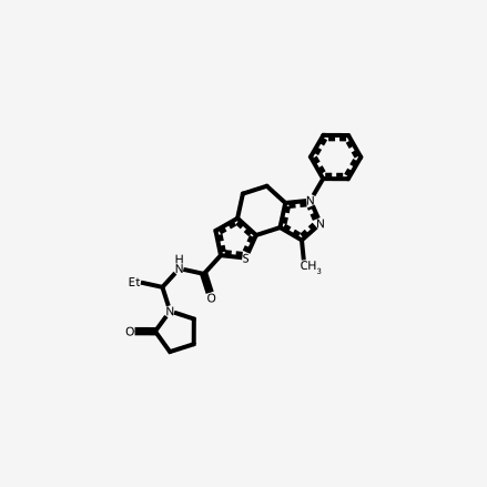 CCC(NC(=O)c1cc2c(s1)-c1c(C)nn(-c3ccccc3)c1CC2)N1CCCC1=O